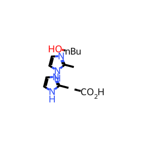 CC(=O)O.CCCCO.Cc1ncc[nH]1.Cc1ncc[nH]1